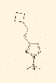 C[SH](C)n1ccc(OCC2CCC2)n1